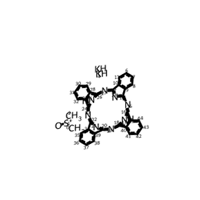 C[S+](C)[O-].[KH].[KH].c1ccc2c(c1)-c1nc-2nc2[nH]c(nc3nc(nc4[nH]c(n1)c1ccccc41)-c1ccccc1-3)c1ccccc21